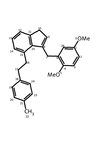 COc1ccc(OC)c(CC2=CCc3cccc(CCc4ccc(C)cc4)c32)c1